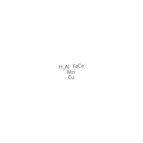 [AlH3].[Ce].[Cu].[Fe].[Mn]